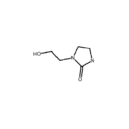 O=C1[N]CCN1CCO